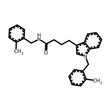 Cc1ccccc1CNC(=O)CCCc1cn(Cc2ccccc2C)c2ccccc12